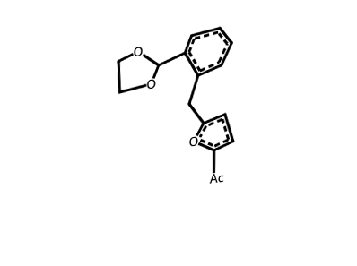 CC(=O)c1ccc(Cc2ccccc2C2OCCO2)o1